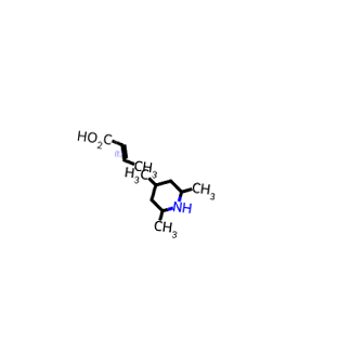 C/C=C/C(=O)O.CC1CC(C)NC(C)C1